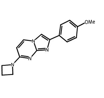 COc1ccc(-c2cn3ccc(N4CCC4)nc3n2)cc1